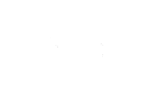 Cc1nn(C)c(C)c1CCN1C(=O)CCCC1=O